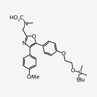 COc1ccc(-c2nc(CN(C)C(=O)O)oc2-c2ccc(OCCO[Si](C)(C)C(C)(C)C)cc2)cc1